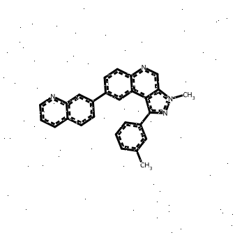 Cc1cccc(-c2nn(C)c3cnc4ccc(-c5ccc6cccnc6c5)cc4c23)c1